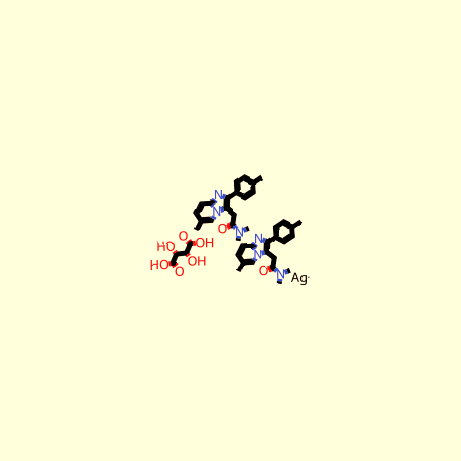 Cc1ccc(-c2nc3ccc(C)cn3c2CC(=O)N(C)C)cc1.Cc1ccc(-c2nc3ccc(C)cn3c2CC(=O)N(C)C)cc1.O=C(O)C(O)C(O)C(=O)O.[Ag]